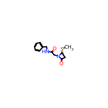 CS[C@H]1CC(=O)N1CC(=O)NCc1ccccc1